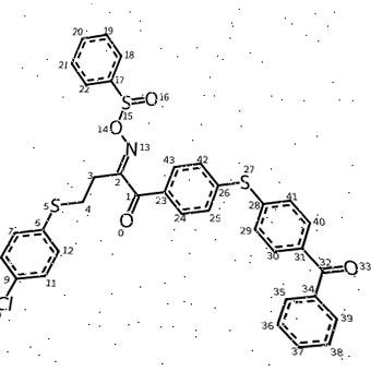 O=C(/C(CCSc1ccc(Cl)cc1)=N/OS(=O)c1ccccc1)c1ccc(Sc2ccc(C(=O)c3ccccc3)cc2)cc1